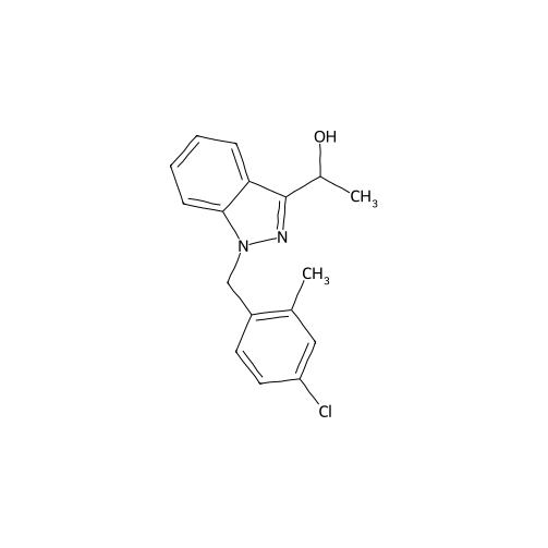 Cc1cc(Cl)ccc1Cn1nc(C(C)O)c2ccccc21